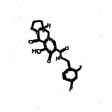 O=C(NCc1ccc(F)cc1F)c1cn2c(c(O)c1=O)C(=O)N1CCC[C@@H]1C2